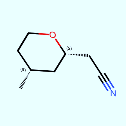 C[C@@H]1CCO[C@H](CC#N)C1